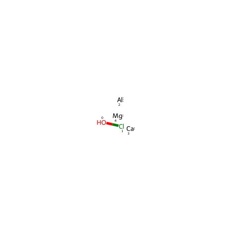 OCl.[Al].[Ca].[Mg]